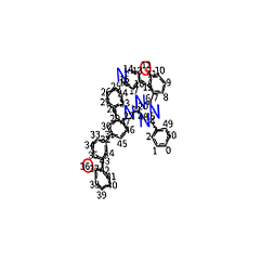 c1ccc(-c2nc(-c3cccc4oc5cnccc5c34)nc(-n3c4ccccc4c4cc(-c5ccc6oc7ccccc7c6c5)ccc43)n2)cc1